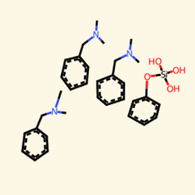 CN(C)Cc1ccccc1.CN(C)Cc1ccccc1.CN(C)Cc1ccccc1.O[Si](O)(O)Oc1ccccc1